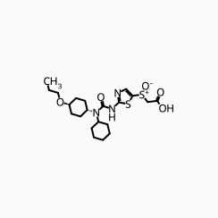 CCCO[C@H]1CC[C@H](N(C(=O)Nc2ncc([S+]([O-])CC(=O)O)s2)C2CCCCC2)CC1